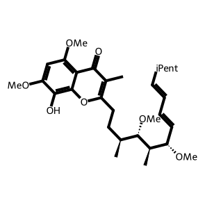 CCCC(C)/C=C/C=C/[C@H](OC)[C@@H](C)[C@@H](OC)[C@@H](C)CCc1oc2c(O)c(OC)cc(OC)c2c(=O)c1C